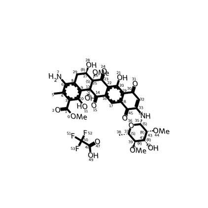 COC(=O)c1c(C)c(N)c2c(c1O)[C@]1(O)C(=O)c3cc4c(c(O)c3C(=O)[C@]1(OC)[C@H](O)C2)C(=O)C=C(N[C@H]1O[C@@H](C)[C@H](OC)[C@@H](O)[C@H]1OC)C4=O.O=C(O)C(F)(F)F